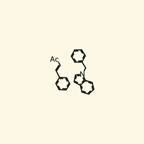 CC(=O)C=Cc1ccccc1.c1ccc(Cn2ccc3ccccc32)cc1